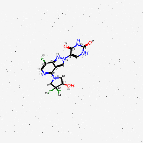 O=c1[nH]cc(-n2cc3c(N4CC(O)C(F)(F)C4)ncc(F)c3n2)c(=O)[nH]1